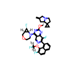 [2H]C([2H])(F)Oc1c(F)ccc2cccc(-c3ncc4c(N5CCOC[C@H]6[C@H](F)[C@H]65)nc(OC[C@]56CC(=C)CN5CCC65CC5)nc4c3F)c12